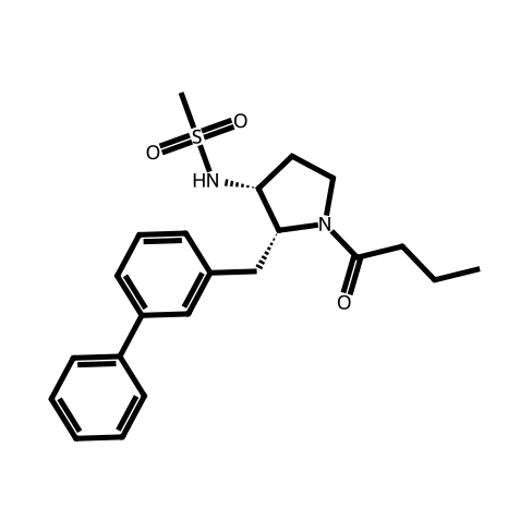 CCCC(=O)N1CC[C@@H](NS(C)(=O)=O)[C@H]1Cc1cccc(-c2ccccc2)c1